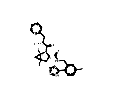 O=C(NCc1cc(Cl)ccc1-c1nnn[nH]1)[C@@H]1C[C@@H]2C[C@@H]2N1C(=O)[C@H](O)Cc1ccccn1